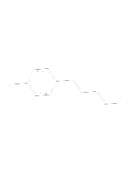 C/C=C/C=C/c1ccc(Br)cc1